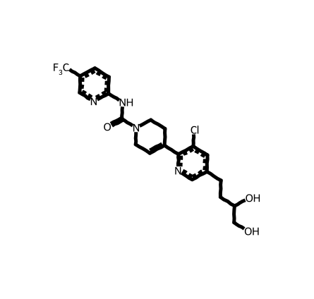 O=C(Nc1ccc(C(F)(F)F)cn1)N1CC=C(c2ncc(CCC(O)CO)cc2Cl)CC1